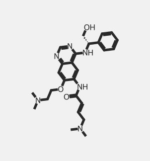 CN(C)C/C=C/C(=O)Nc1cc2c(N[C@H](CO)c3ccccc3)ncnc2cc1OCCN(C)C